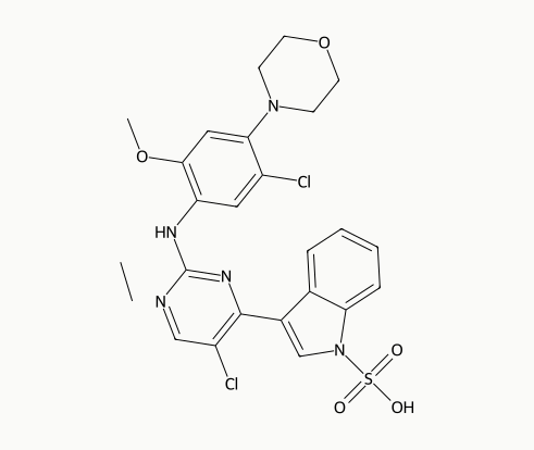 CC.COc1cc(N2CCOCC2)c(Cl)cc1Nc1ncc(Cl)c(-c2cn(S(=O)(=O)O)c3ccccc23)n1